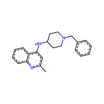 Cc1cc(NC2CCN(Cc3ccccc3)CC2)c2ccccc2n1